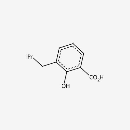 CC(C)Cc1c[c]cc(C(=O)O)c1O